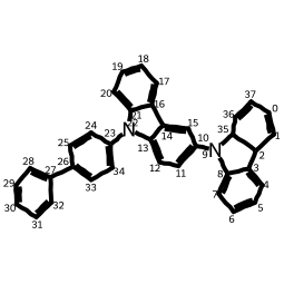 C1=CC2c3ccccc3N(c3ccc4c(c3)c3ccccc3n4-c3ccc(-c4ccccc4)cc3)C2C=C1